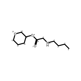 CCCCNCC(=O)OC1CCCOC1